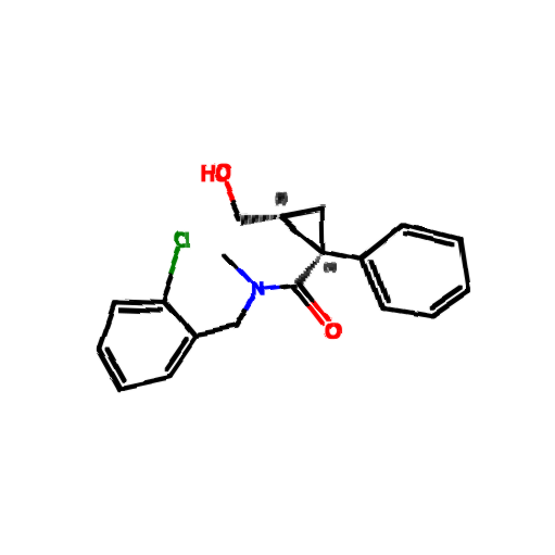 CN(Cc1ccccc1Cl)C(=O)[C@@]1(c2ccccc2)C[C@H]1CO